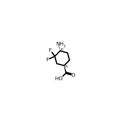 N[C@@H]1CC[C@@H](C(=O)O)CC1(F)F